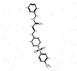 Cc1ccc(S(=O)(=O)N2CCC(C/C=C/C(=O)OCc3ccccc3)CC2)cc1